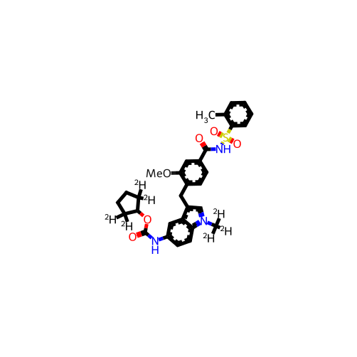 [2H]C1([2H])CCC([2H])([2H])C1OC(=O)Nc1ccc2c(c1)c(Cc1ccc(C(=O)NS(=O)(=O)c3ccccc3C)cc1OC)cn2C([2H])([2H])[2H]